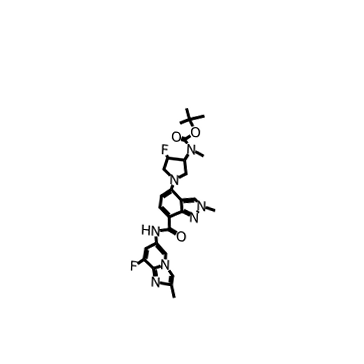 Cc1cn2cc(NC(=O)c3ccc(N4CC(F)C(N(C)C(=O)OC(C)(C)C)C4)c4cn(C)nc34)cc(F)c2n1